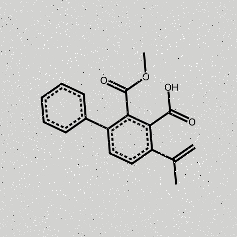 C=C(C)c1ccc(-c2ccccc2)c(C(=O)OC)c1C(=O)O